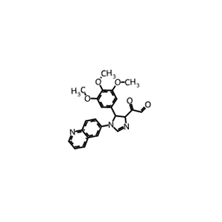 COc1cc(C2C(C(=O)C=O)N=CN2c2ccc3ncccc3c2)cc(OC)c1OC